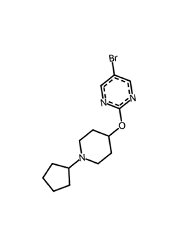 Brc1cnc(OC2CCN(C3CCCC3)CC2)nc1